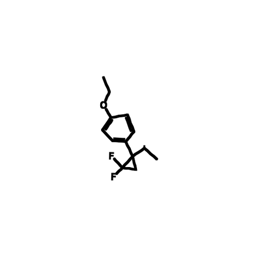 C[CH]C1(c2ccc(OCC)cc2)CC1(F)F